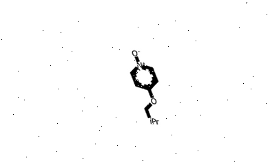 CC(C)COc1cc[n+]([O-])cc1